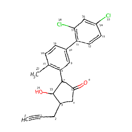 C#CCC1CC(=O)C(c2cc(-c3ccc(Cl)cc3Cl)ccc2C)C1O